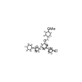 COc1ccc(COc2cc(-c3cnc(-c4ccccc4)o3)nc(-c3nc(Cl)cs3)n2)cc1